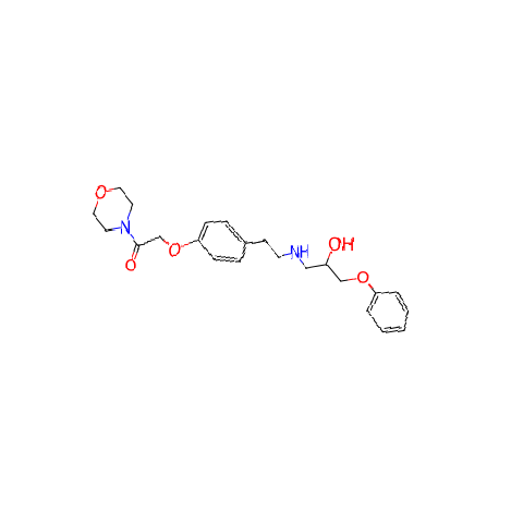 O=C(COc1ccc(CCNCC(O)COc2ccccc2)cc1)N1CCOCC1